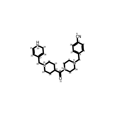 N#Cc1ccc(CN2CCN(C(=O)C3CCN(CC4=CCNC=C4)CC3)CC2)cc1